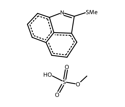 COS(=O)(=O)O.CSC1=Nc2cccc3cccc1c23